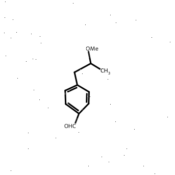 COC(C)Cc1ccc(C=O)cc1